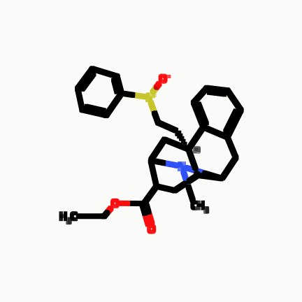 CCOC(=O)C1CC2C3Cc4ccccc4[C@]2(CC[S+]([O-])c2ccccc2)CC1N3C